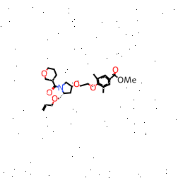 C=CCOC[C@H]1C[C@@H](OCCOc2c(C)cc(C(=O)OC)cc2C)CN1C(=O)C1CCCOC1